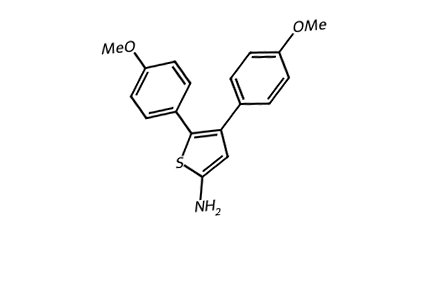 COc1ccc(-c2cc(N)sc2-c2ccc(OC)cc2)cc1